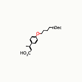 CCCCCCCCCCCCCCOc1ccc(C(C)=CC(=O)O)cc1